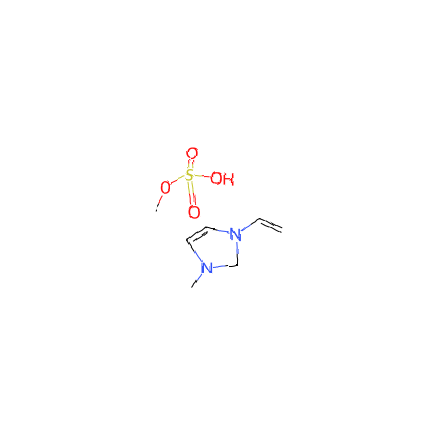 C=CN1C=CN(C)C1.COS(=O)(=O)O